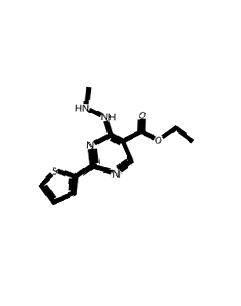 CCOC(=O)c1cnc(-c2cccs2)nc1NNC